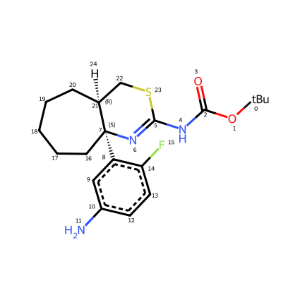 CC(C)(C)OC(=O)NC1=N[C@@]2(c3cc(N)ccc3F)CCCCC[C@H]2CS1